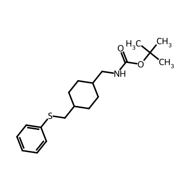 CC(C)(C)OC(=O)NCC1CCC(CSc2ccccc2)CC1